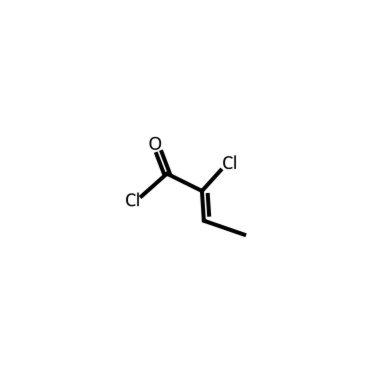 CC=C(Cl)C(=O)Cl